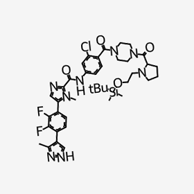 Cc1n[nH]cc1-c1ccc(-c2cnc(C(=O)Nc3ccc(C(=O)N4CCN(C(=O)C5CCCN5CCO[Si](C)(C)C(C)(C)C)CC4)c(Cl)c3)n2C)c(F)c1F